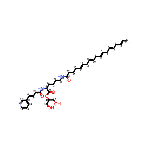 CCC=CCC=CCC=CCC=CCC=CCCCC(=O)NCCCCC(NC(=O)CC=Cc1cccnc1)C(=O)OC(CO)CO